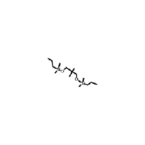 CCC[Si](C)(C)OCC(C)(C)CO[Si](C)(C)CCC